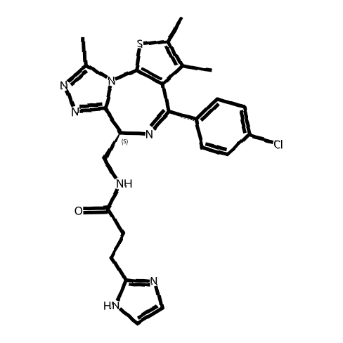 Cc1sc2c(c1C)C(c1ccc(Cl)cc1)=N[C@@H](CNC(=O)CCc1ncc[nH]1)c1nnc(C)n1-2